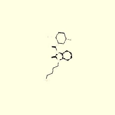 CC(C)[C@@H]1CC[C@@H](C)C[C@H]1C(=O)n1c(=O)n(CCCCN)c2ccccc21